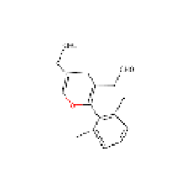 Cc1cccc(C)c1C1=C(CC=O)CC(CC=O)=CO1